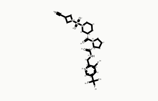 N#CC1CN(S(=O)(=O)N2CCC[C@H](C(=O)N3CCC[C@@H]3C(=O)NCc3ncc(C(F)(F)F)cc3F)C2)C1